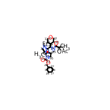 CCn1cc(C)nc1[C@@H](C1CCOCC1)N(C[C@H]1CCN(C(=O)OCc2ccccc2)C1)C(=O)[C@H](C)OC(C)=O